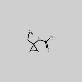 NCC1(OC(N)=O)CC1